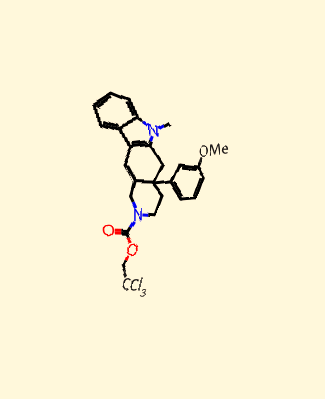 COc1cccc(C23CCN(C(=O)OCC(Cl)(Cl)Cl)CC2Cc2c(n(C)c4ccccc24)C3)c1